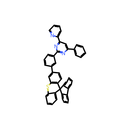 c1ccc(-c2cc(-c3ccccn3)nc(-c3cccc(-c4ccc5c(c4)Sc4ccccc4C54c5ccccc5-c5ccccc54)c3)n2)cc1